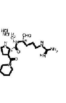 Cl.Cl.N=C(N)NCCC[C@@H](C=O)NC(=O)[C@H]1NCCC1C(=O)N1CCCCC1.O